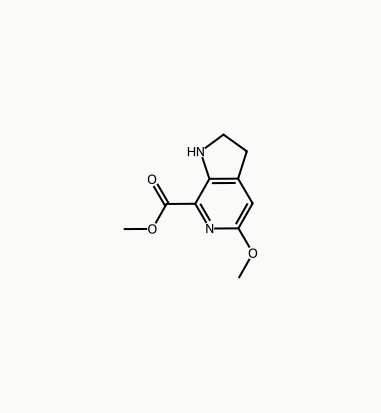 COC(=O)c1nc(OC)cc2c1NCC2